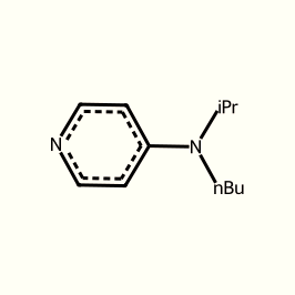 CCCCN(c1ccncc1)C(C)C